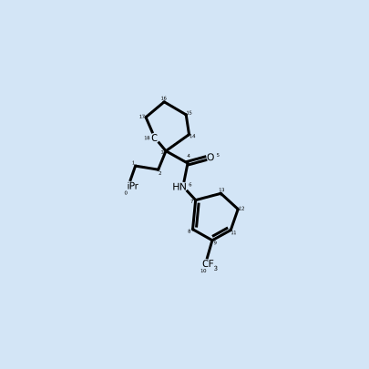 CC(C)CCC1(C(=O)NC2=CC(C(F)(F)F)=CC[CH]2)CCCCC1